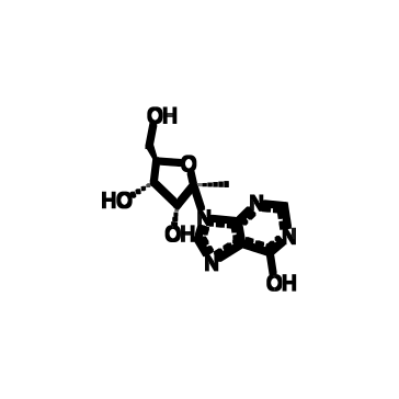 C[C@@]1(n2cnc3c(O)ncnc32)O[C@H](CO)[C@@H](O)[C@H]1O